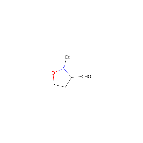 CCN1OCCC1C=O